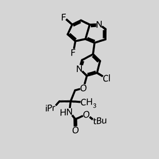 CC(C)CC(C)(COc1ncc(-c2ccnc3cc(F)cc(F)c23)cc1Cl)NC(=O)OC(C)(C)C